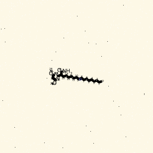 CCCCCCCC/C=C/CCCCCCC(C(N)=O)c1nc(OC)cc(OC)n1